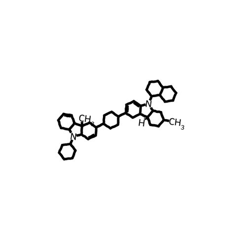 CC1CC[C@@H]2C3CC(C4CCC(C5C=CC6N(C7CCCCC7)C7CCC=CC7C6(C)C5)CC4)=CC=C3N(C3CCCC4CCCCC43)C2C1